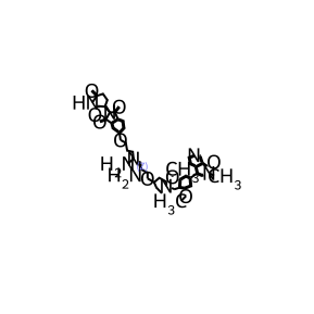 COc1cc(-c2cn(C)c(=O)c3cnccc23)cc(OC)c1CN1CCC(OC/C(N)=C/N(N)CCCOc2ccc3c(c2)C(=O)N(C2CCC(=O)NC2=O)C3=O)CC1